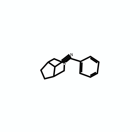 N#CC1C2CCC1CN(Cc1ccccc1)C2